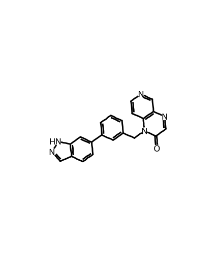 O=c1cnc2cnccc2n1Cc1cccc(-c2ccc3cn[nH]c3c2)c1